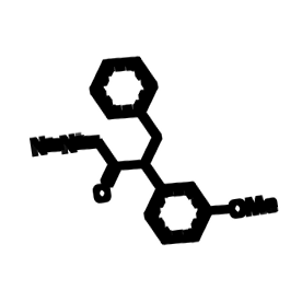 COc1cccc(C(Cc2ccccc2)C(=O)C=[N+]=[N-])c1